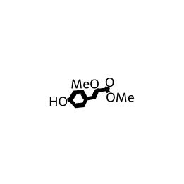 [CH2]OC(=O)/C(=C/c1ccc(O)cc1)OC